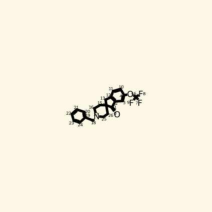 O=C1c2cc(OC(F)(F)F)ccc2CC12CCN(Cc1ccccc1)CC2